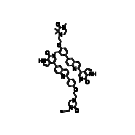 C#CCN1CCN(CCOc2ccc(-c3ccc4cc(-c5cn(Cc6cc(-c7ccc8nc(-c9cn(C)c(=O)c%10[nH]ccc9%10)ccc8c7)ccc6OCCN6CCN(C)C(=O)C6(C)C)c(=O)c6[nH]ccc56)ccc4n3)cc2)CC1=O